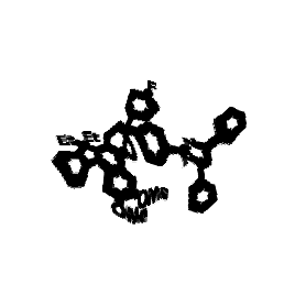 CCC1(CC)c2ccccc2-c2c1c1c(c3cc(OC)c(OC)cc23)OC(c2ccc(F)cc2)(c2ccc(-c3nc(-c4ccccc4)cc(-c4ccccc4)n3)cc2)C=C1